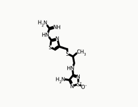 CC(CNc1n[s+]([O-])nc1N)SCc1csc(NC(=N)N)n1